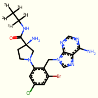 [2H]C([2H])([2H])C([2H])([2H])NC(=O)[C@@]1(N)CCN(c2cc(Cl)cc(Br)c2Cn2cnc3c(N)ncnc32)C1